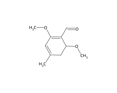 COC1=C(C=O)C(OC)CC(C)=C1